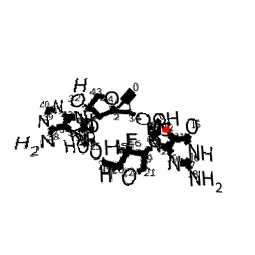 C#C[C@@]12COP(O)(=S)O[C@@]3(n4cnc5c(=O)[nH]c(N)nc54)CO[C@H](COP(O)(=S)O[C@H]1[C@@](O)(n1cnc4c(N)ncnc41)CO2)[C@@H]3F